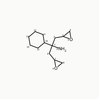 NC(CC1CO1)(CC1CO1)C1CCCCC1